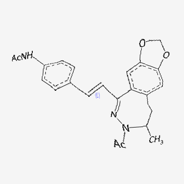 CC(=O)Nc1ccc(/C=C/C2=NN(C(C)=O)C(C)Cc3cc4c(cc32)OCO4)cc1